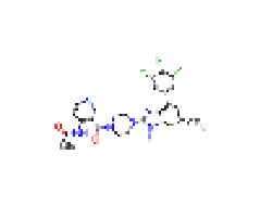 CC(C)(C)C(=O)Nc1ccncc1C(=O)N1CCN(c2nc3c(-c4cc(F)c(F)c(F)c4)cc(C(F)(F)F)cc3[nH]2)CC1